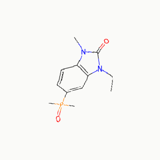 CCn1c(=O)n(C)c2ccc(P(C)(C)=O)cc21